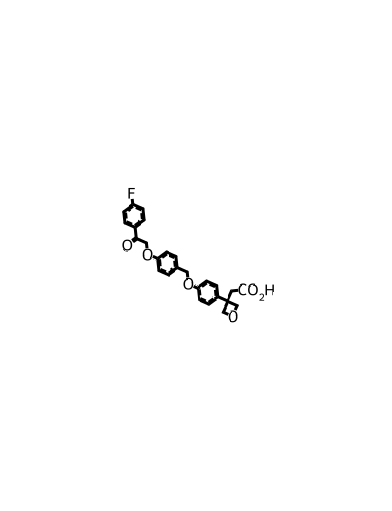 O=C(O)CC1(c2ccc(OCc3ccc(OCC(=O)c4ccc(F)cc4)cc3)cc2)COC1